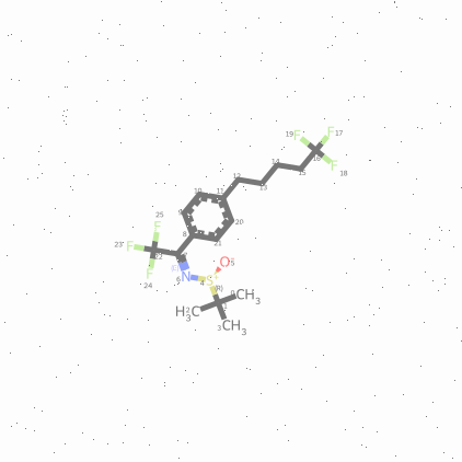 CC(C)(C)[S@+]([O-])/N=C(\c1ccc(CCCCC(F)(F)F)cc1)C(F)(F)F